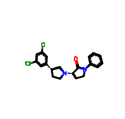 O=C1[C@@H](N2CC[C@H](c3cc(Cl)cc(Cl)c3)C2)CCN1c1ccccc1